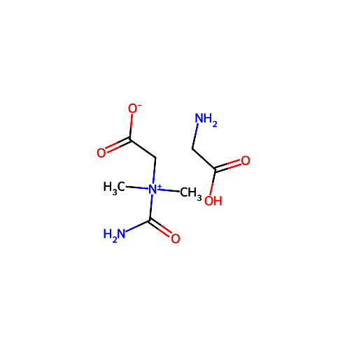 C[N+](C)(CC(=O)[O-])C(N)=O.NCC(=O)O